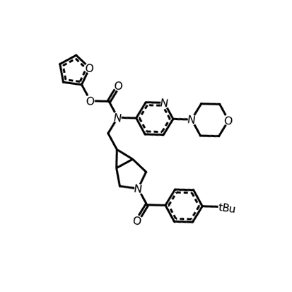 CC(C)(C)c1ccc(C(=O)N2CC3C(C2)C3CN(C(=O)Oc2ccco2)c2ccc(N3CCOCC3)nc2)cc1